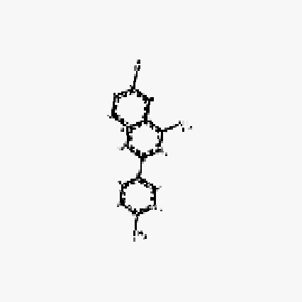 Cc1ccc(-c2nc(N)c3cc(Br)ccc3n2)cn1